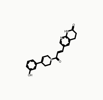 O=C1CCc2cc(C=CC(=O)N3CC=C(c4cccc(O)c4)CC3)cnc2N1